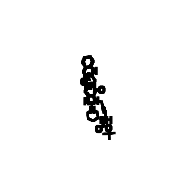 CC#CCn1c(N2CCC[C@@H](NC(=O)OC(C)(C)C)C2)nc2cnn(Cc3nc4ccccc4c[n+]3[O-])c(=O)c21